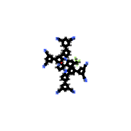 N#Cc1cc(C#N)cc(-c2ccc3c(c2)c2cc(-c4cc(C#N)cc(C#N)c4)ccc2n3-c2ccncc2-c2ccc(C(F)(F)F)cc2-n2c3ccc(-c4cc(C#N)cc(C#N)c4)cc3c3cc(-c4cc(C#N)cc(C#N)c4)ccc32)c1